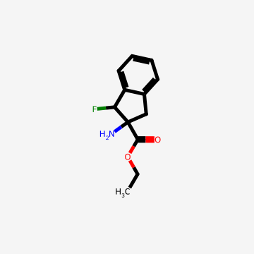 CCOC(=O)C1(N)Cc2ccccc2C1F